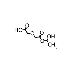 CC(O)OC(=O)COCC(=O)O